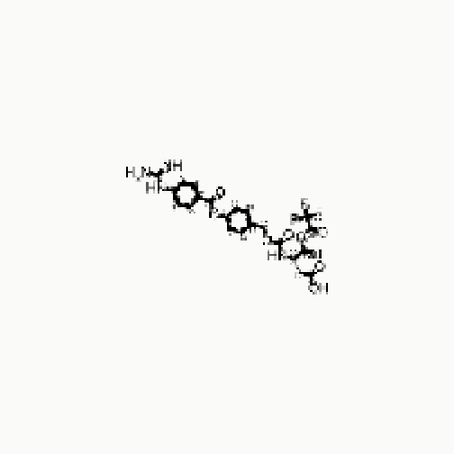 N=C(N)Nc1ccc(C(=O)Oc2ccc(COC(=O)N[C@@H](CC(=O)O)C(=O)OC(=O)C(F)(F)F)cc2)cc1